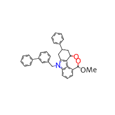 COC(=O)c1cccc2c1c1c(n2Cc2cccc(-c3ccccc3)c2)CC(c2ccccc2)CC1=O